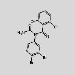 NC(=O)N(C(=O)c1c(Cl)cccc1Cl)c1ccc(Br)c(Br)c1